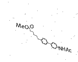 COC(=O)CCCCCc1ccc(-c2ccc(NC(C)=O)cc2)cc1